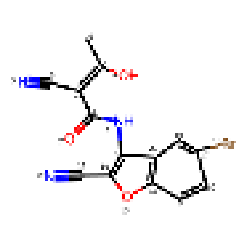 CC(O)=C(C#N)C(=O)Nc1c(C#N)oc2ccc(Br)cc12